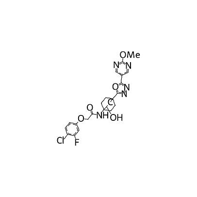 COc1ncc(-c2nnc(C34CCC(NC(=O)COc5ccc(Cl)c(F)c5)(CC3)C(O)C4)o2)cn1